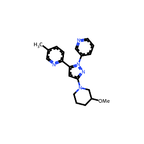 COC1CCCN(c2cc(-c3ccc(C)cn3)n(-c3cccnc3)n2)C1